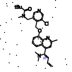 C=C/C=C(/c1cc(C)nc2c(OCc3c(Cl)cncc3CN(C)C(=O)C(C)(C)C)cccc12)N(C)C